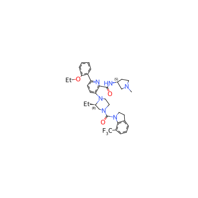 CCOc1ccccc1-c1ccc(N2CCN(C(=O)N3CCc4cccc(C(F)(F)F)c43)C[C@H]2CC)c(C(=O)N[C@H]2CCN(C)C2)n1